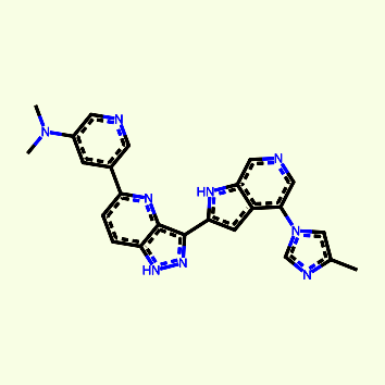 Cc1cn(-c2cncc3[nH]c(-c4n[nH]c5ccc(-c6cncc(N(C)C)c6)nc45)cc23)cn1